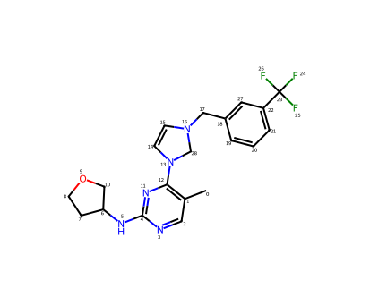 Cc1cnc(NC2CCOC2)nc1N1C=CN(Cc2cccc(C(F)(F)F)c2)C1